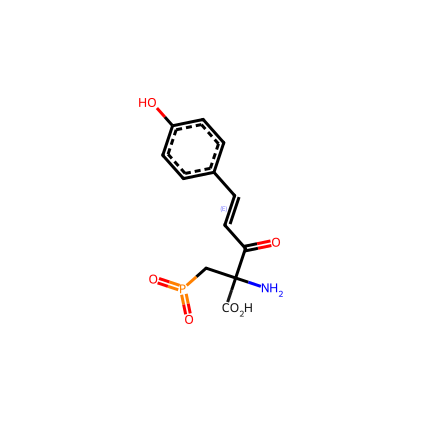 NC(CP(=O)=O)(C(=O)O)C(=O)/C=C/c1ccc(O)cc1